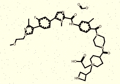 COCCn1cc(-c2ccc(-c3cnc(C(=O)Nc4ccc(C(=O)N5CCN(C(=O)C6CC[N+](CC(=O)O)(CC7CNC7)CC6)CC5)c(C)c4)n3C)cc2F)c(C)n1.O=C[O-]